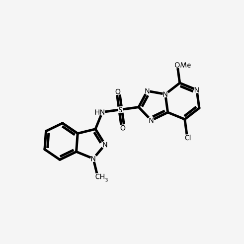 COc1ncc(Cl)c2nc(S(=O)(=O)Nc3nn(C)c4ccccc34)nn12